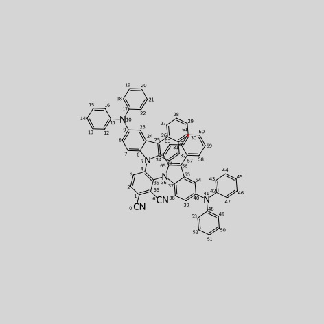 N#Cc1ccc(-n2c3ccc(N(c4ccccc4)c4ccccc4)cc3c3c4ccccc4ccc32)c(-n2c3ccc(N(c4ccccc4)c4ccccc4)cc3c3c4ccccc4ccc32)c1C#N